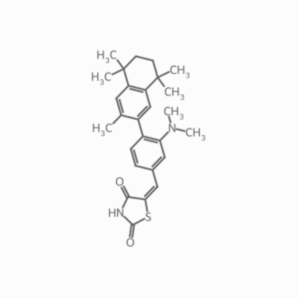 Cc1cc2c(cc1-c1ccc(C=C3SC(=O)NC3=O)cc1N(C)C)C(C)(C)CCC2(C)C